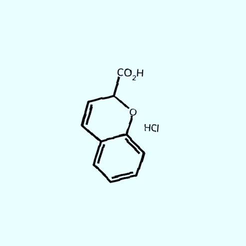 Cl.O=C(O)C1C=Cc2ccccc2O1